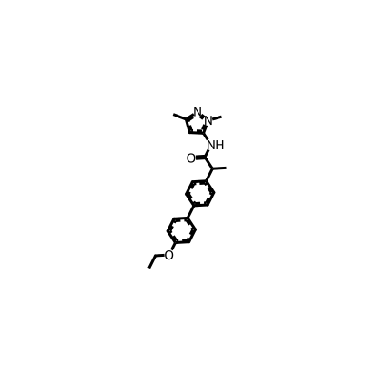 CCOc1ccc(-c2ccc(C(C)C(=O)Nc3cc(C)nn3C)cc2)cc1